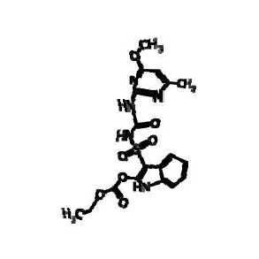 CCOC(=O)Oc1[nH]c2ccccc2c1S(=O)(=O)NC(=O)Nc1nc(C)cc(OC)n1